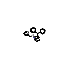 c1ccc(C(c2ccccc2)C2/C(=N/Cc3cccs3)C3CCN2CC3)cc1